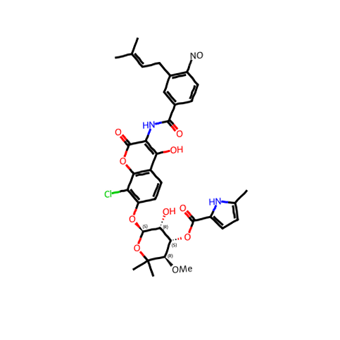 CO[C@@H]1[C@@H](OC(=O)c2ccc(C)[nH]2)[C@@H](O)[C@H](Oc2ccc3c(O)c(NC(=O)c4ccc(N=O)c(CC=C(C)C)c4)c(=O)oc3c2Cl)OC1(C)C